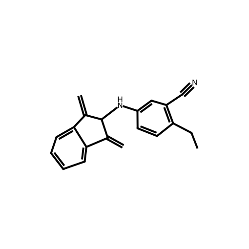 C=C1c2ccccc2C(=C)C1Nc1ccc(CC)c(C#N)c1